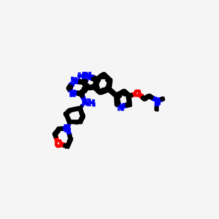 CN(C)CCOc1cncc(-c2ccc3[nH]c4ncnc(N[C@H]5CC[C@H](N6CCOCC6)CC5)c4c3c2)c1